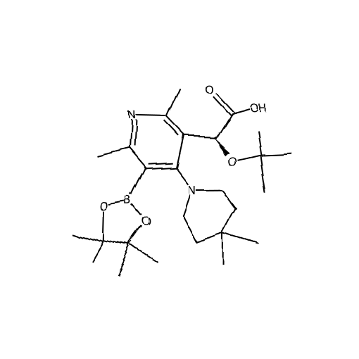 Cc1nc(C)c([C@H](OC(C)(C)C)C(=O)O)c(N2CCC(C)(C)CC2)c1B1OC(C)(C)C(C)(C)O1